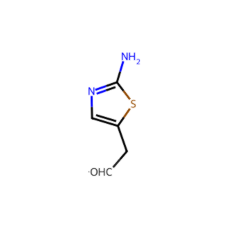 Nc1ncc(C[C]=O)s1